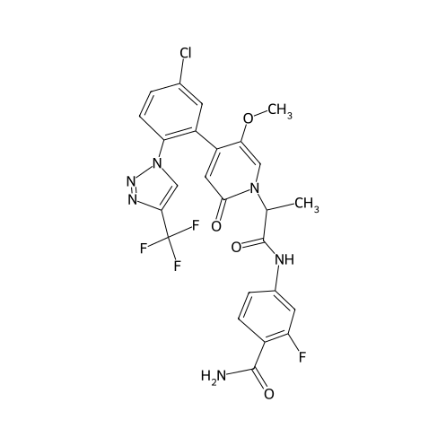 COc1cn(C(C)C(=O)Nc2ccc(C(N)=O)c(F)c2)c(=O)cc1-c1cc(Cl)ccc1-n1cc(C(F)(F)F)nn1